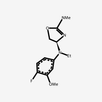 CCN(c1ccc(F)c(OC)c1)[C@H]1COC(NC)=N1